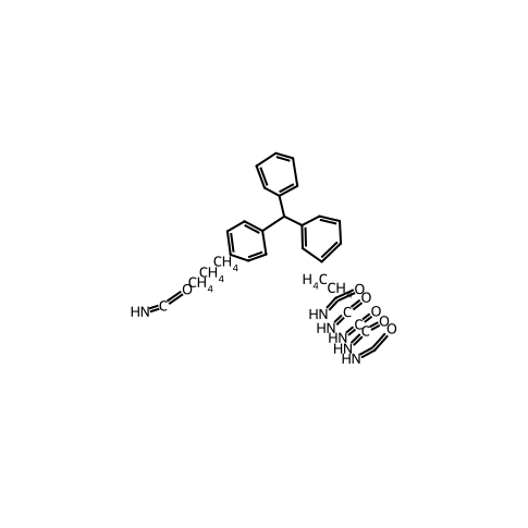 C.C.C.C.C.N=C=O.N=C=O.N=C=O.N=C=O.N=C=O.N=C=O.c1ccc(C(c2ccccc2)c2ccccc2)cc1